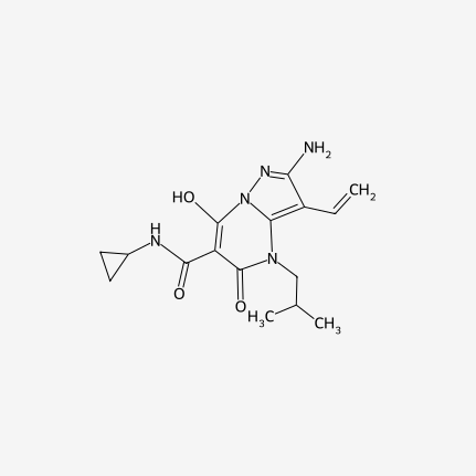 C=Cc1c(N)nn2c(O)c(C(=O)NC3CC3)c(=O)n(CC(C)C)c12